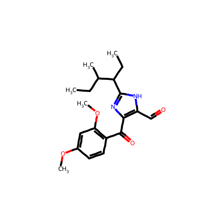 CCC(C)C(CC)c1nc(C(=O)c2ccc(OC)cc2OC)c(C=O)[nH]1